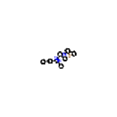 c1ccc(-c2ccc(-c3cc(-c4ccccc4)nc(-c4cccc5c4c4ccccc4n5-c4cccc5c4sc4ccccc45)n3)cc2)cc1